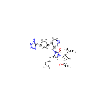 CCCCc1cn(C2C(C(C)=O)CC2C(C)C)c(=O)n1Cc1cnccc1-c1ccc(-c2nnn[nH]2)cc1